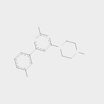 CC(=O)c1cccc(-c2cc(N3CCN(C)CC3)nc(N)n2)c1